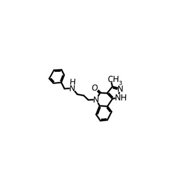 Cc1n[nH]c2c1c(=O)n(CCCNCc1ccccc1)c1ccccc21